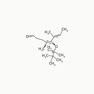 C/C=C(\C)[C@@H](O[Si](C)(C)C(C)(C)C)[C@@H](C)CCC=O